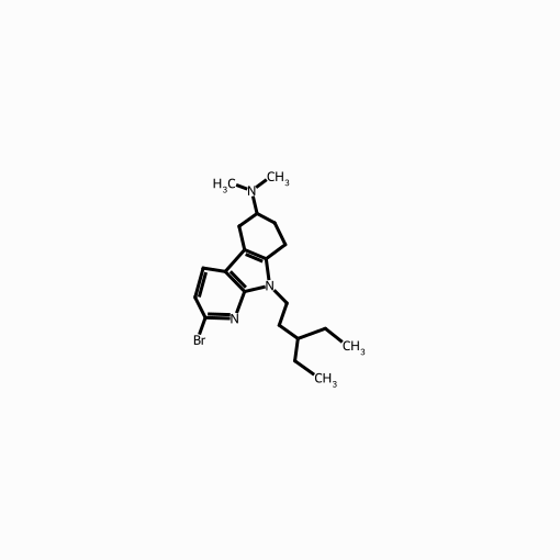 CCC(CC)CCn1c2c(c3ccc(Br)nc31)CC(N(C)C)CC2